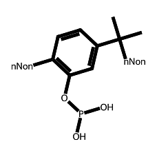 CCCCCCCCCc1ccc(C(C)(C)CCCCCCCCC)cc1OP(O)O